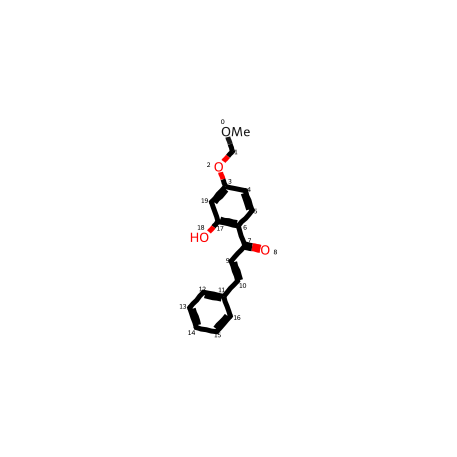 COCOc1ccc(C(=O)C=Cc2ccccc2)c(O)c1